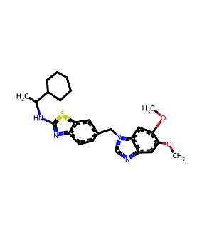 COc1cc2ncn(Cc3ccc4nc(NC(C)C5CCCCC5)sc4c3)c2cc1OC